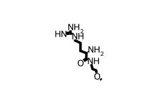 COCCNC(=O)[C@@H](N)CCCNC(=N)N